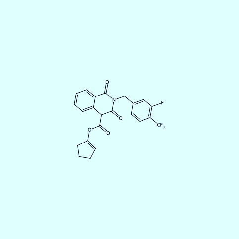 O=C(OC1=CCCC1)C1C(=O)N(Cc2ccc(C(F)(F)F)c(F)c2)C(=O)c2ccccc21